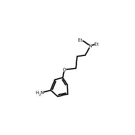 CCN(CC)CCCOc1cccc(N)c1